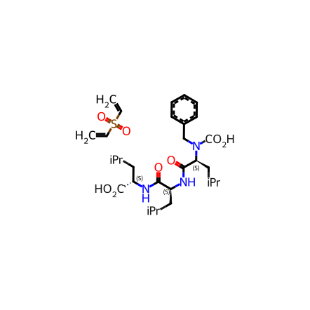 C=CS(=O)(=O)C=C.CC(C)C[C@H](NC(=O)[C@H](CC(C)C)NC(=O)[C@H](CC(C)C)N(Cc1ccccc1)C(=O)O)C(=O)O